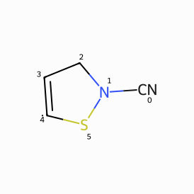 N#CN1CC=[C]S1